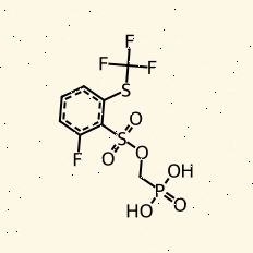 O=P(O)(O)COS(=O)(=O)c1c(F)cccc1SC(F)(F)F